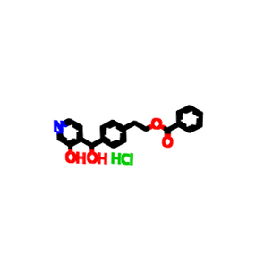 Cl.O=C(OCCc1ccc(C(O)c2ccncc2O)cc1)c1ccccc1